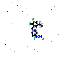 NC1(F)CCN(Cc2cc(C(F)(F)F)cc(Cl)c2F)CC1